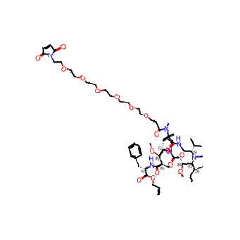 C=CCOC(=O)[C@H](Cc1ccccc1)NC(=O)[C@H](C)[C@@H](OC)[C@@H]1CCCN1C(=O)C[C@@H](OC)[C@H]([C@@H](C)CC)N(C)[C@H](C(=O)NC(=O)C(C)(C)N(C)C(=O)CCOCCOCCOCCOCCOCCOCCN1C(=O)C=CC1=O)C(C)C